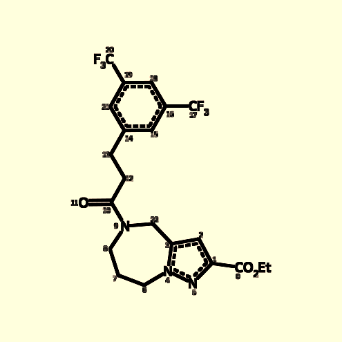 CCOC(=O)c1cc2n(n1)CCCN(C(=O)CCc1cc(C(F)(F)F)cc(C(F)(F)F)c1)C2